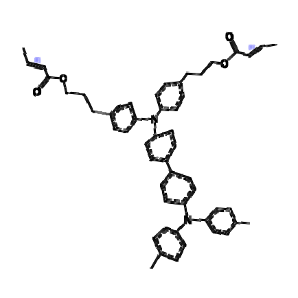 C/C=C/C(=O)OCCCc1ccc(N(c2ccc(CCCOC(=O)/C=C/C)cc2)c2ccc(-c3ccc(N(c4ccc(C)cc4)c4ccc(C)cc4)cc3)cc2)cc1